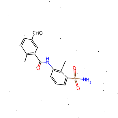 Cc1ccc(C=O)cc1C(=O)Nc1cccc(S(N)(=O)=O)c1C